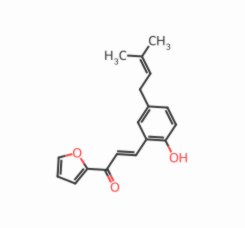 CC(C)=CCc1ccc(O)c(C=CC(=O)c2ccco2)c1